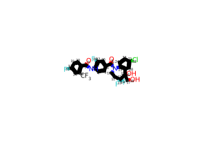 O=C(Nc1ccc(C(=O)N2CCC(F)(F)[C@](O)(CO)c3cc(Cl)ccc32)cc1F)c1ccc(F)cc1C(F)(F)F